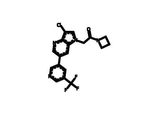 O=C(Cn1cc(Cl)c2ncc(-c3cncc(C(F)(F)F)c3)cc21)N1CCC1